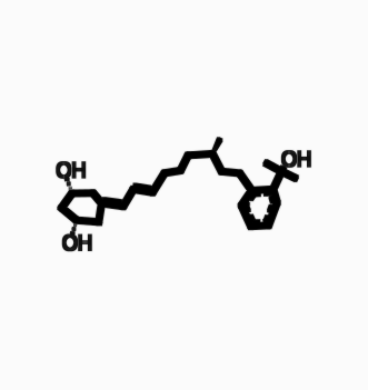 C[C@H](CCC/C=C/C=C1\C[C@@H](O)C[C@@H](O)C1)CCc1ccccc1C(C)(C)O